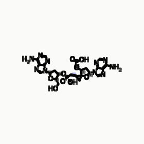 Nc1ncnc2c1ncn2[C@H]1C[C@H](OP(=O)(O)/C=C2\CC23O[C@@H](n2cnc4c(N)ncnc42)C[C@@H]3O[PH](=O)O)[C@@H](CO)O1